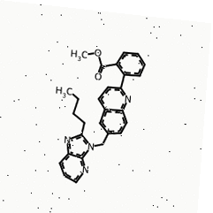 CCCCc1nc2cccnc2n1Cc1ccc2nc(-c3ccccc3C(=O)OC)ccc2c1